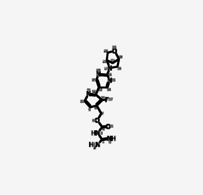 N=C(N)NC(=O)OCc1ccnc(-c2cnc(N3CC4CC3CO4)nc2)c1F